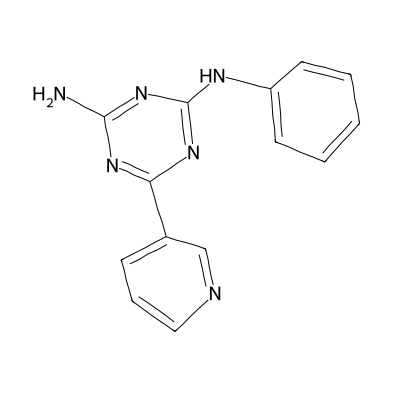 Nc1nc(Nc2ccccc2)nc(-c2cccnc2)n1